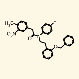 Cc1ccc(CC(=O)N(CCc2ccccc2OCc2ccccc2)c2ccc(F)cc2)cc1[N+](=O)[O-]